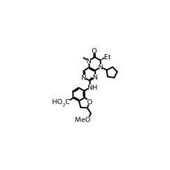 CC[C@@H]1C(=O)N(C)c2cnc(Nc3ccc(C(=O)O)c4c3OC(COC)C4)nc2N1C1CCCC1